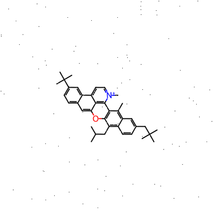 Cc1c2c(c(CC(C)C)c3ccc(CC(C)(C)C)cc13)Oc1cc3ccc(C(C)(C)C)cc3c3cc[n+](C)c-2c13